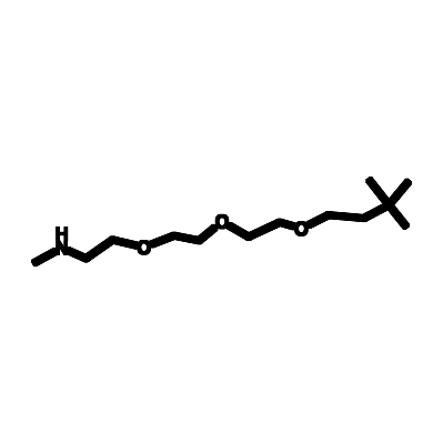 CNCCOCCOCCOCCC(C)(C)C